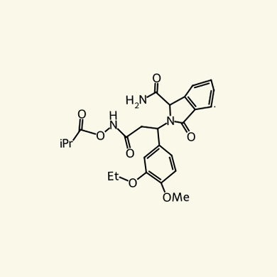 CCOc1cc(C(CC(=O)NOC(=O)C(C)C)N2C(=O)c3[c]cccc3C2C(N)=O)ccc1OC